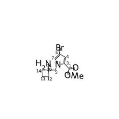 COC(=O)c1cc(Br)cn1CC1(N)CCC1